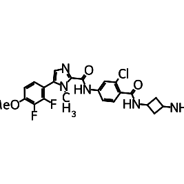 COc1ccc(-c2cnc(C(=O)Nc3ccc(C(=O)NC4CC(N)C4)c(Cl)c3)n2C)c(F)c1F